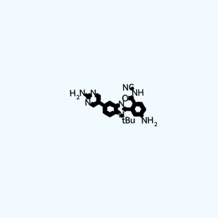 CC(C)(C)n1c(-c2cc(N)ccc2C(=O)NC#N)nc2cc(-c3cnc(N)nc3)ccc21